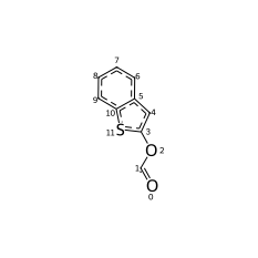 O=[C]Oc1cc2ccccc2s1